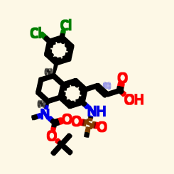 CN(C(=O)OC(C)(C)C)[C@H]1CC[C@@H](c2ccc(Cl)c(Cl)c2)c2cc(/C=C/C(=O)O)c(NS(C)(=O)=O)cc21